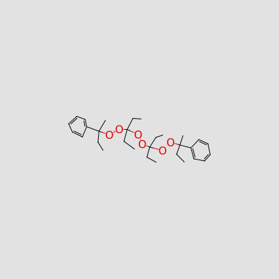 CCC(CC)(OOC(CC)(CC)OOC(C)(CC)c1ccccc1)OOC(C)(CC)c1ccccc1